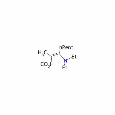 CCCCCC(=C(C)C(=O)O)N(CC)CC